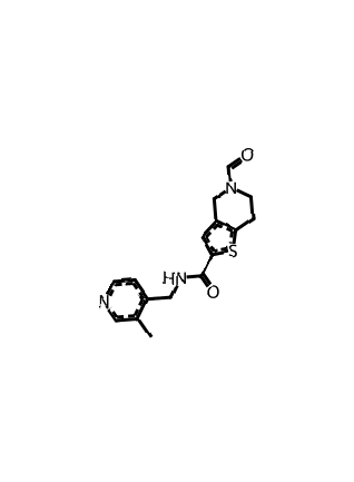 Cc1cnccc1CNC(=O)c1cc2c(s1)CCN(C=O)C2